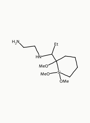 CCC(NCCN)C1(OC)CCCC[Si]1(OC)OC